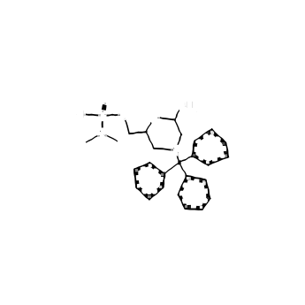 BC1CN(C(c2ccccc2)(c2ccccc2)c2ccccc2)CC(COP(=O)(Cl)N(C)C)O1